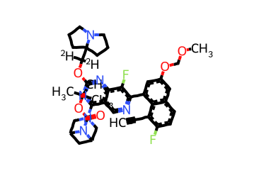 [2H]C([2H])(Oc1nc(N2CC3CC(C2)N3C(=O)OC(C)(C)C)c2cnc(-c3cc(OCOC)cc4ccc(F)c(C#C)c34)c(F)c2n1)C12CCCN1CCC2